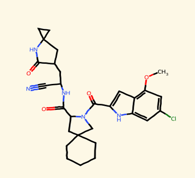 COc1cc(Cl)cc2[nH]c(C(=O)N3CC4(CCCCC4)CC3C(=O)NC(C#N)CC3CC4(CC4)NC3=O)cc12